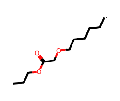 [CH2]CCCCCOCC(=O)OCCC